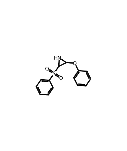 O=S(=O)(c1ccccc1)C1NC1Oc1ccccc1